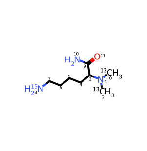 [13CH3]N([13CH3])C(CCCC[15NH2])C(N)=O